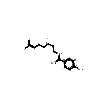 CC(C)=CCC[C@H](C)CCOC(=O)c1ccc([N+](=O)[O-])cc1